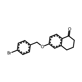 O=C1CCCc2cc(OCc3ccc(Br)cc3)ccc21